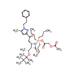 CCCCP(CCCC)(CCCC)(OC(=O)COC(C)=O)N1C(=O)[C@H]([C@@H](C)O[Si](C)(C)C(C)(C)C)[C@H]1CC(=O)c1cc(C)n(CCc2ccccc2)n1